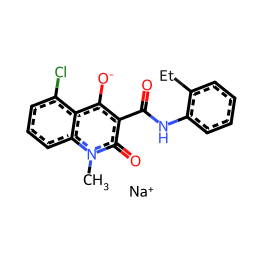 CCc1ccccc1NC(=O)c1c([O-])c2c(Cl)cccc2n(C)c1=O.[Na+]